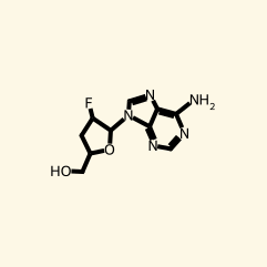 Nc1ncnc2c1ncn2C1OC(CO)CC1F